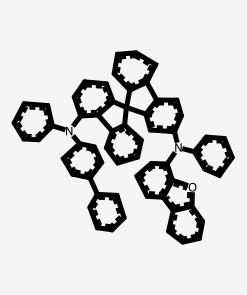 c1ccc(-c2ccc(N(c3ccccc3)c3cccc4c3-c3ccccc3C43c4ccccc4-c4ccc(N(c5ccccc5)c5cccc6c5oc5ccccc56)cc43)cc2)cc1